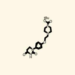 CC(C)(C)OC(=O)N1CCN(CCOc2ccc(N3CCC(=O)NC3=O)cc2)CC1